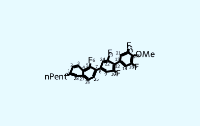 CCCCCc1ccc2c(F)c(-c3cc(F)c(-c4cc(F)c(OC)c(F)c4)c(F)c3)ccc2c1